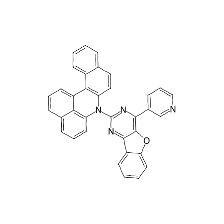 c1cncc(-c2nc(N3c4ccc5ccccc5c4-c4cccc5cccc3c45)nc3c2oc2ccccc23)c1